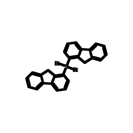 C[CH2][Ti]([CH2]C)([c]1cccc2c1Cc1ccccc1-2)[c]1cccc2c1Cc1ccccc1-2